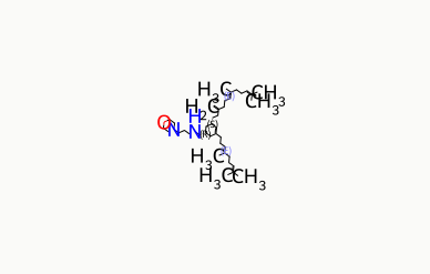 C=C(CC/C=C(\C)CCC=C(C)C)CC[C@@H]1C=C(CC/C=C(\C)CCC=C(C)C)C[C@H](CNCCCN2CCOCC2)C1